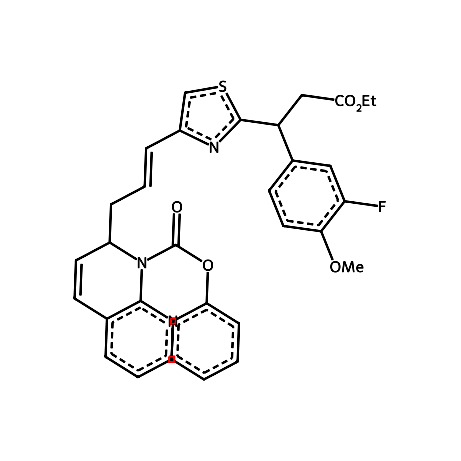 CCOC(=O)CC(c1ccc(OC)c(F)c1)c1nc(C=CCC2C=Cc3cccnc3N2C(=O)Oc2ccccc2)cs1